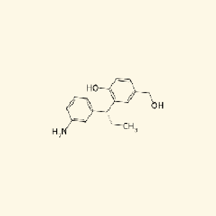 CC[C@H](c1cccc(N)c1)c1cc(CO)ccc1O